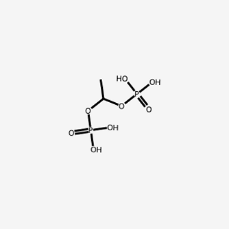 CC(OP(=O)(O)O)OP(=O)(O)O